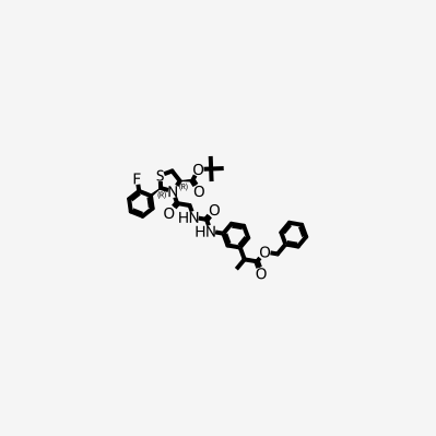 CC(C(=O)OCc1ccccc1)c1cccc(NC(=O)NCC(=O)N2[C@@H](c3ccccc3F)SC[C@H]2C(=O)OC(C)(C)C)c1